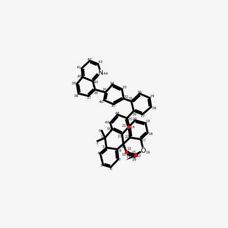 CC1(C)c2ccccc2C2(c3ccccc3Oc3ccccc32)c2cc(-c3ccccc3-c3ccc(-c4cccc5cccnc45)cc3)ccc21